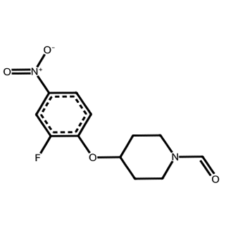 O=CN1CCC(Oc2ccc([N+](=O)[O-])cc2F)CC1